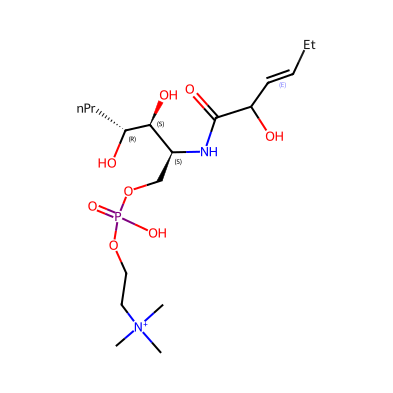 CC/C=C/C(O)C(=O)N[C@@H](COP(=O)(O)OCC[N+](C)(C)C)[C@H](O)[C@H](O)CCC